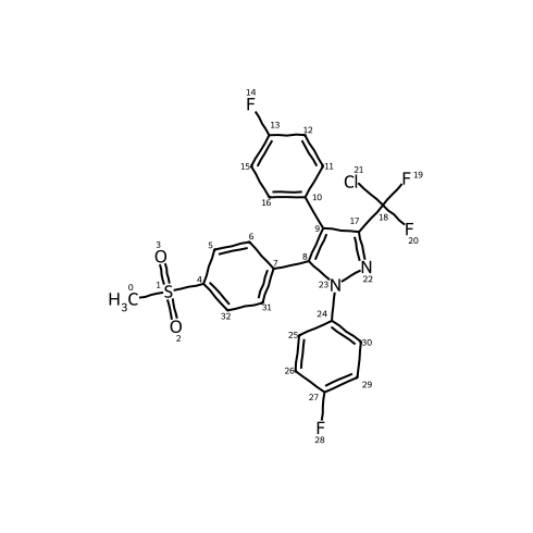 CS(=O)(=O)c1ccc(-c2c(-c3ccc(F)cc3)c(C(F)(F)Cl)nn2-c2ccc(F)cc2)cc1